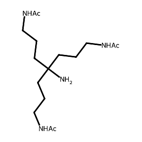 CC(=O)NCCCC(N)(CCCNC(C)=O)CCCNC(C)=O